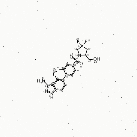 Nc1n[nH]c2ccc(-c3ccc(S(=O)(=O)N4CC(F)(F)CC4CO)cc3F)c(F)c12